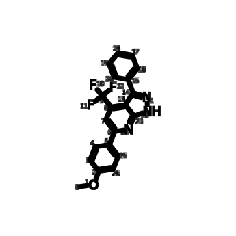 COc1ccc(-c2cc(C(F)(F)F)c3c(-c4ccccc4)n[nH]c3n2)cc1